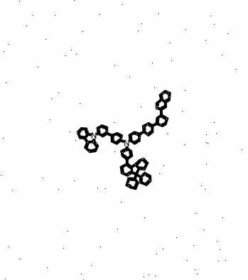 c1ccc(C2(c3ccccc3)c3ccccc3-c3c(-c4ccc(N(c5ccc(-c6ccc(-c7cccc(-c8ccc9ccccc9c8)c7)cc6)cc5)c5ccc(-c6cccc(-n7c8ccccc8c8ccccc87)c6)cc5)cc4)cccc32)cc1